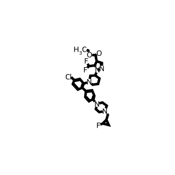 CCOC(=O)C1C=NN(C2CCCN(c3cc(Cl)ccc3-c3ccc(N4CCN(CC5CC5F)CC4)cc3)C2)C1C(F)F